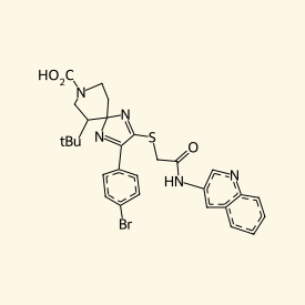 CC(C)(C)C1CN(C(=O)O)CCC12N=C(SCC(=O)Nc1cnc3ccccc3c1)C(c1ccc(Br)cc1)=N2